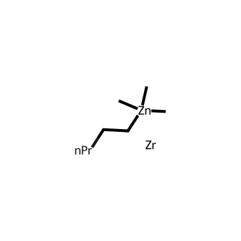 CCCC[CH2][Zn]([CH3])([CH3])[CH3].[Zr]